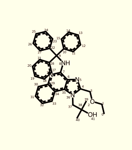 CCOCc1nc2c(NC(c3ccccc3)(c3ccccc3)c3ccccc3)nc3ccccc3c2n1CC(C)(C)O